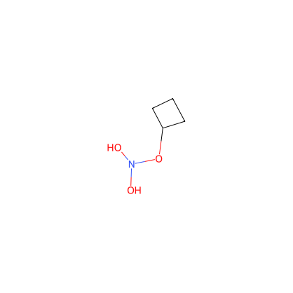 ON(O)OC1CCC1